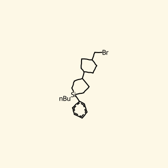 CCCC[Si]1(c2ccccc2)CCC(C2CCC(CBr)CC2)CC1